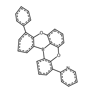 c1ccc(-c2cccc3c2Oc2cccc4c2B3c2cccc(-c3ccccn3)c2O4)cc1